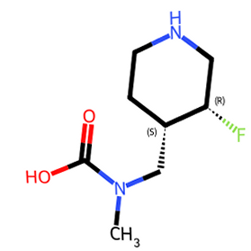 CN(C[C@@H]1CCNC[C@@H]1F)C(=O)O